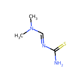 CN(C)/C=N/C(N)=S